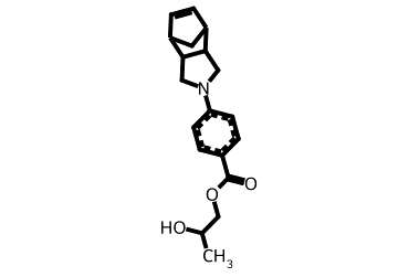 CC(O)COC(=O)c1ccc(N2CC3C4C=CC(C4)C3C2)cc1